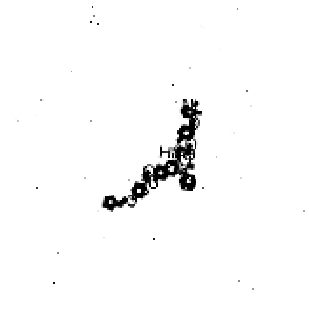 CC[C@@H](c1ccccc1)N1Cc2cc3c(cc2C[C@H]1C(=O)N[C@@H](Cc1ccc(Oc2ccnc(C)c2C)cc1)C(=O)OC)OC[C@H](c1ccc(OCCC2CCCC2)cc1)O3